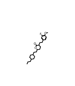 CCCC1CCC(CCC2CCC(CCc3ccc(OC)c(F)c3)C(=O)O2)CC1